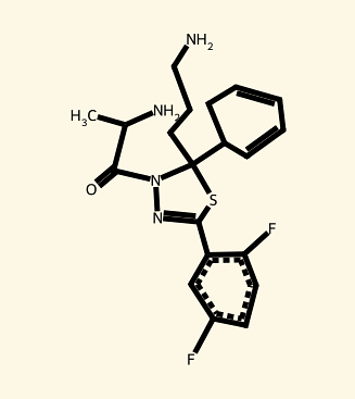 CC(N)C(=O)N1N=C(c2cc(F)ccc2F)SC1(CCCN)C1C=CC=CC1